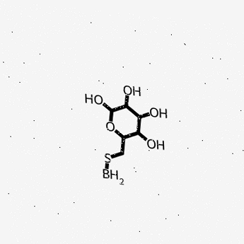 BSCC1OC(O)C(O)C(O)C1O